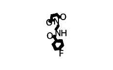 O=C(NCCN1C(=O)C=CC1=O)c1ccc(F)cc1